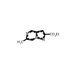 CCOC(=O)c1cc2cnc(C)cn2n1